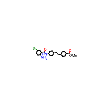 COC(=O)c1ccc(CCc2ccc(NC(=O)c3cc(Br)ccc3N)cc2)cc1